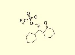 O=C1CCCCC1C(SOS(=O)(=O)C(F)(F)F)C1CCCCC1